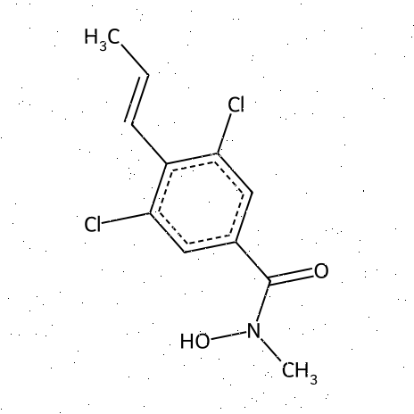 CC=Cc1c(Cl)cc(C(=O)N(C)O)cc1Cl